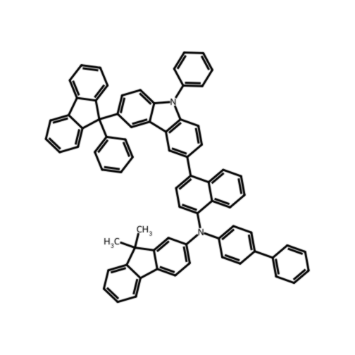 CC1(C)c2ccccc2-c2ccc(N(c3ccc(-c4ccccc4)cc3)c3ccc(-c4ccc5c(c4)c4cc(C6(c7ccccc7)c7ccccc7-c7ccccc76)ccc4n5-c4ccccc4)c4ccccc34)cc21